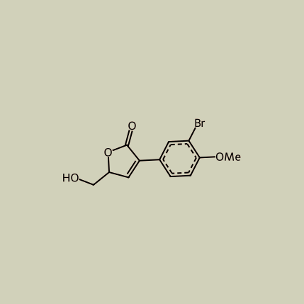 COc1ccc(C2=CC(CO)OC2=O)cc1Br